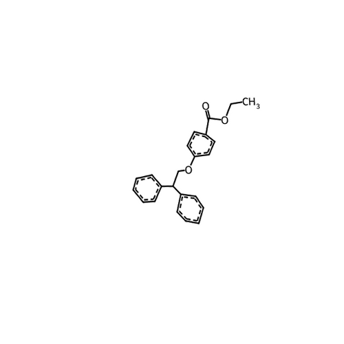 CCOC(=O)c1ccc(OCC(c2ccccc2)c2ccccc2)cc1